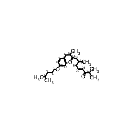 CC(C)CCCOc1ccc(CC(C)C(=O)CC(C)C/C=C/C(=O)C(C)C)cc1